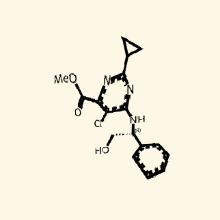 COC(=O)c1nc(C2CC2)nc(N[C@@H](CO)c2ccccc2)c1Cl